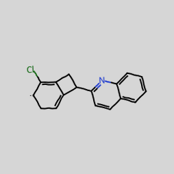 ClC1=C2CC(c3ccc4ccccc4n3)C2=CC[CH]1